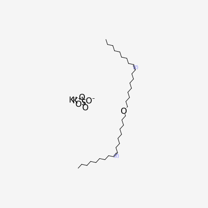 CCCCCCCC/C=C\CCCCCCCCOCCCCCCCC/C=C\CCCCCCCC.O=S(=O)([O-])[O-].[K+].[K+]